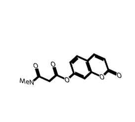 CNC(=O)CC(=O)Oc1ccc2ccc(=O)oc2c1